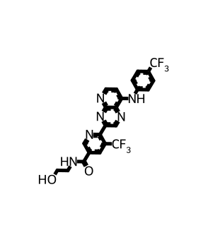 O=C(NCCO)c1cnc(-c2cnc3c(Nc4ccc(C(F)(F)F)cc4)ccnc3n2)c(C(F)(F)F)c1